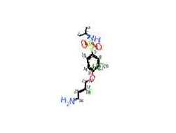 CC(C)NS(=O)(=O)c1ccc(OCC(F)=CCN)cc1.Cl